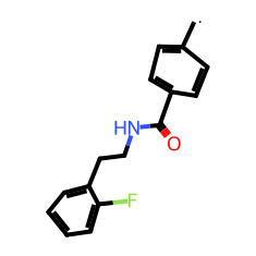 [CH2]c1ccc(C(=O)NCCc2ccccc2F)cc1